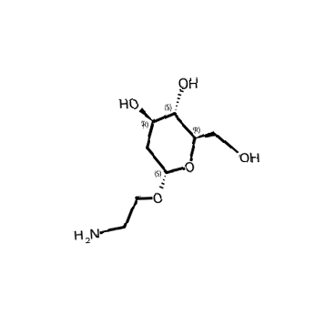 NCCO[C@@H]1C[C@@H](O)[C@H](O)[C@@H](CO)O1